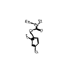 CCN(CC)C(=O)Oc1ccc(Cl)cc1F